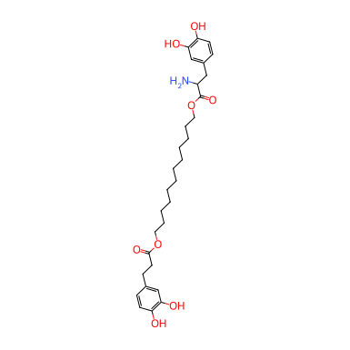 NC(Cc1ccc(O)c(O)c1)C(=O)OCCCCCCCCCCCCOC(=O)CCc1ccc(O)c(O)c1